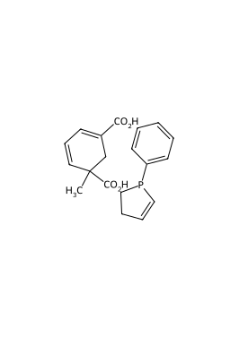 C1=CP(c2ccccc2)CC1.CC1(C(=O)O)C=CC=C(C(=O)O)C1